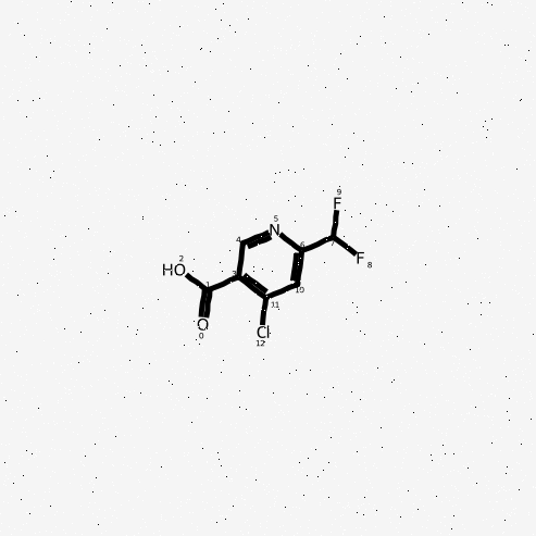 O=C(O)c1cnc(C(F)F)cc1Cl